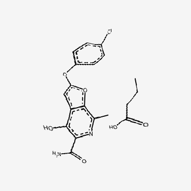 CCCC(=O)O.Cc1nc(C(N)=O)c(O)c2cc(Oc3ccc(Cl)cc3)oc12